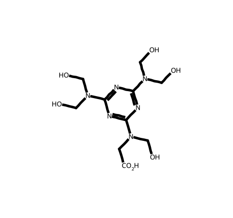 O=C(O)CN(CO)c1nc(N(CO)CO)nc(N(CO)CO)n1